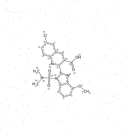 COc1cccc2c1nc(-c1nc3ccc(Cl)cc3cc1C(=O)O)n2S(=O)(=O)N(C)C